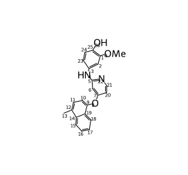 COc1cc(Nc2cc(Oc3ccc(C)c4ccccc34)ccn2)ccc1O